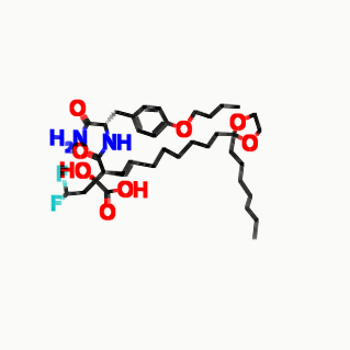 CCCCCCCC1(CCCCCCC=C[C@H](C(=O)N[C@@H](Cc2ccc(OCCCC)cc2)C(N)=O)[C@@](O)(CC(F)F)C(=O)O)OCCO1